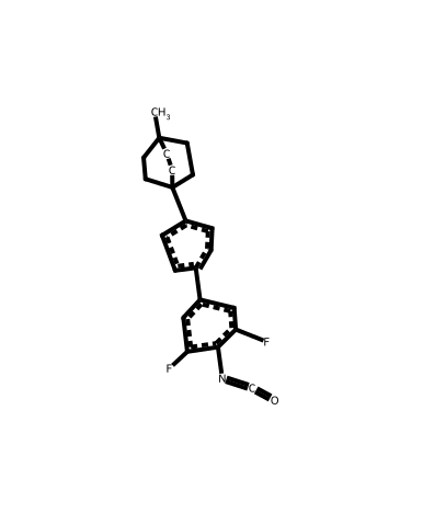 CC12CCC(c3ccc(-c4cc(F)c(N=C=O)c(F)c4)cc3)(CC1)CC2